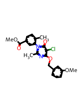 COC(=O)c1ccc(C)c(-n2c(C)nc(OCc3cccc(OC)c3)c(Cl)c2=O)c1